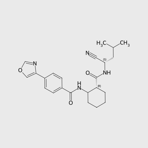 CC(C)C[C@@H](C#N)NC(=O)[C@@H]1CCCCC1NC(=O)c1ccc(-c2cocn2)cc1